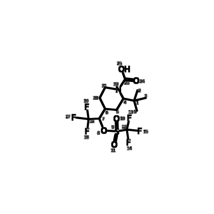 CC(C)(C)C1CC(C(OS(=O)(=O)C(F)(F)F)C(F)(F)F)CCN1C(=O)O